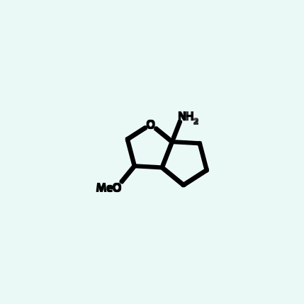 COC1COC2(N)CCCC12